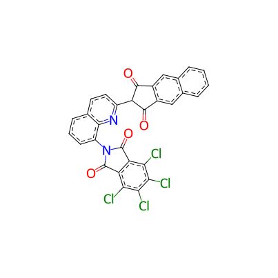 O=C1c2cc3ccccc3cc2C(=O)C1c1ccc2cccc(N3C(=O)c4c(Cl)c(Cl)c(Cl)c(Cl)c4C3=O)c2n1